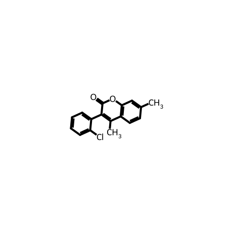 Cc1ccc2c(C)c(-c3ccccc3Cl)c(=O)oc2c1